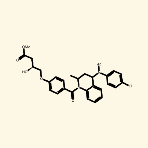 COC(=O)C[C@H](O)COc1ccc(C(=O)N2c3ccccc3C(N(C(C)=O)c3ccc(Cl)cc3)CC2C)cc1